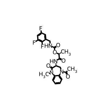 CC(=O)N1C[C@H](NC(=O)[C@H](C)OC(=O)NCc2cc(F)cc(F)c2F)C(=O)N(C)c2ccccc21